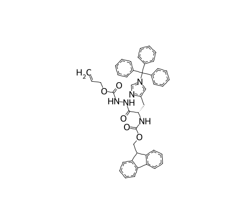 C=CCOC(=O)NNC(=O)[C@H](Cc1cn(C(c2ccccc2)(c2ccccc2)c2ccccc2)cn1)NC(=O)OCC1c2ccccc2-c2ccccc21